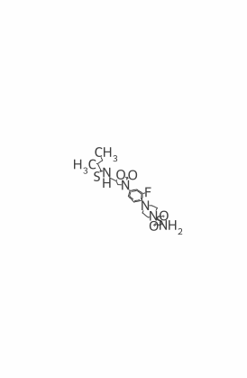 CCC(C)C(=S)NCC1CN(c2ccc(N3CCN(S(N)(=O)=O)CC3)c(F)c2)C(=O)O1